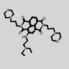 CCN(CC)CCNc1cc2c3c(ccc4c3c1C(=O)N(CCCN1CCOCC1)C4=O)C(=O)N(CCCN1CCOCC1)C2=O